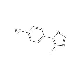 FC(F)(F)c1ccc(-c2ocnc2I)cc1